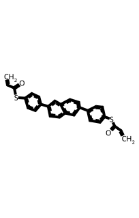 C=CC(=O)Sc1ccc(-c2ccc3cc(-c4ccc(SC(=O)C=C)cc4)ccc3c2)cc1